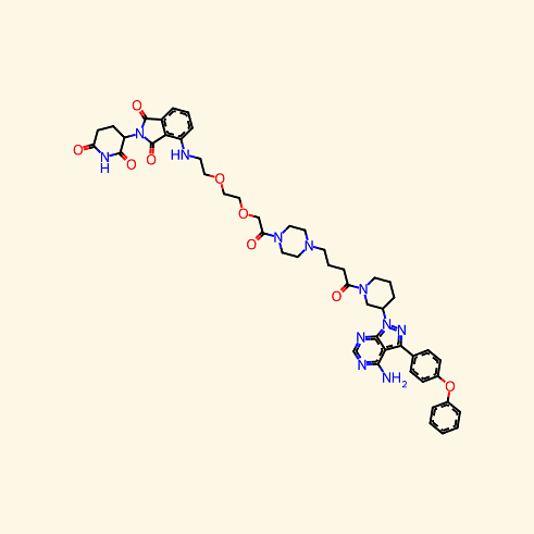 Nc1ncnc2c1c(-c1ccc(Oc3ccccc3)cc1)nn2C1CCCN(C(=O)CCCN2CCN(C(=O)COCCOCCNc3cccc4c3C(=O)N(C3CCC(=O)NC3=O)C4=O)CC2)C1